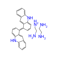 C1=c2c(cccc2=c2cccc3c2=Cc2ccccc2N3)Nc2ccccc21.NCCN.NCCN